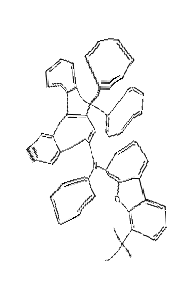 CC(C)(C)c1cccc2c1oc1c(N(c3ccccc3)c3cc4c(c5ccccc35)-c3ccccc3C4(c3ccccc3)c3ccccc3)cccc12